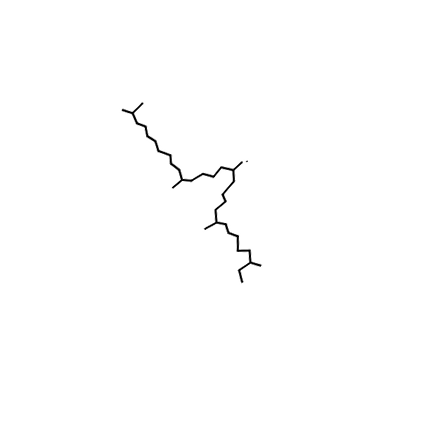 [CH2]C(CCCCC(C)CCCCCCCCC(C)C)CCCCC(C)CCCCCC(C)CC